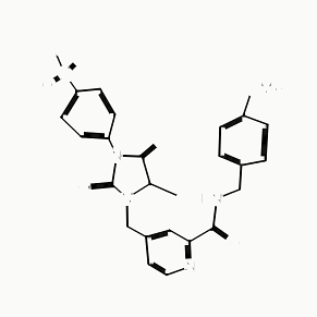 COc1ccc(CNC(=O)c2cc(CN3C(=O)N(c4ccc(S(=O)(=O)C(F)(F)F)cc4)C(=O)C3C)ccn2)cc1